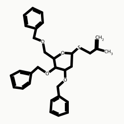 C=C(C)CSC1CC(OCc2ccccc2)C(OCc2ccccc2)C(COCc2ccccc2)O1